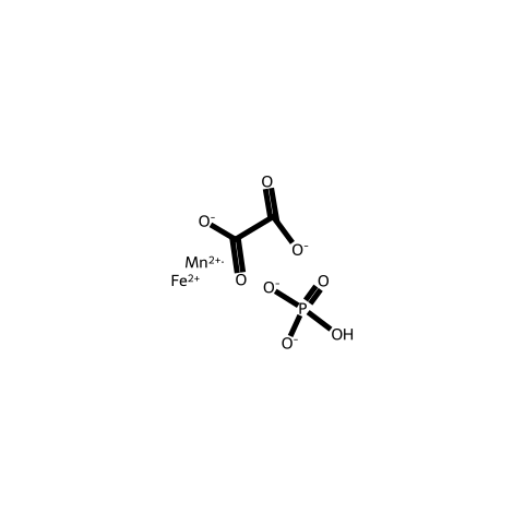 O=C([O-])C(=O)[O-].O=P([O-])([O-])O.[Fe+2].[Mn+2]